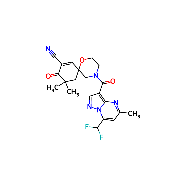 Cc1cc(C(F)F)n2ncc(C(=O)N3CCOC4(C=C(C#N)C(=O)C(C)(C)C4)C3)c2n1